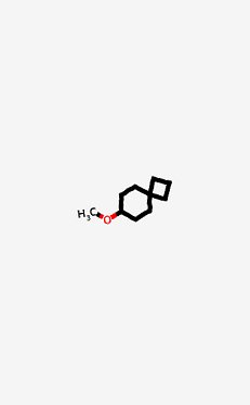 COC1CCC2(CCC2)CC1